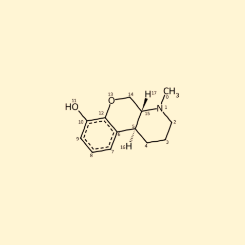 CN1CCC[C@H]2c3cccc(O)c3OC[C@@H]21